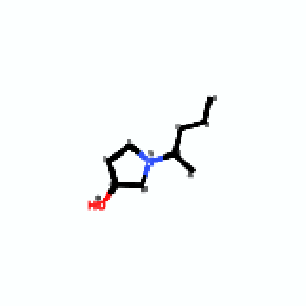 CCCC(C)N1CCC(O)C1